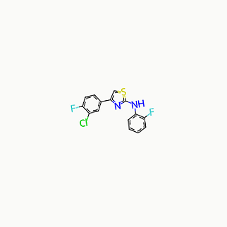 Fc1ccc(-c2csc(Nc3ccccc3F)n2)cc1Cl